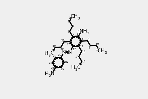 CCCCc1c(N)c(CCCC)c(CCCC)c(N=Nc2ccc(N)cc2)c1CCCC